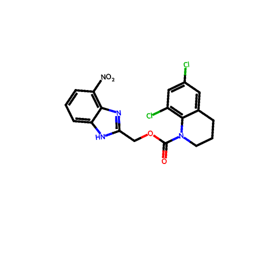 O=C(OCc1nc2c([N+](=O)[O-])cccc2[nH]1)N1CCCc2cc(Cl)cc(Cl)c21